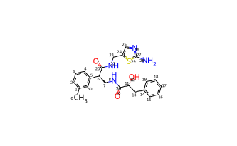 Cc1cccc([C@H](CNC(=O)[C@H](O)Cc2ccccc2)C(=O)NCc2cnc(N)s2)c1